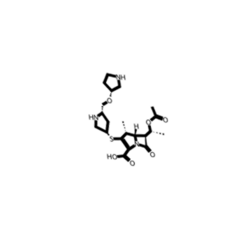 CC(=O)O[C@H](C)[C@H]1C(=O)N2C(C(=O)O)=C(S[C@@H]3CN[C@H](CO[C@@H]4CCNC4)C3)[C@H](C)[C@H]12